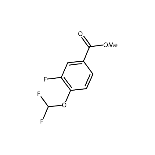 COC(=O)c1ccc(OC(F)F)c(F)c1